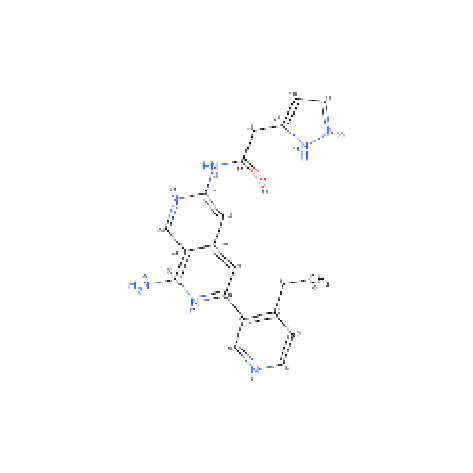 CCc1ccncc1-c1cc2cc(NC(=O)Cc3ccn[nH]3)ncc2c(N)n1